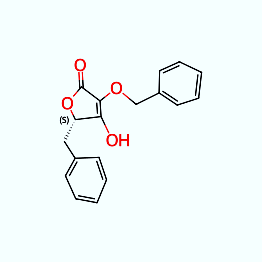 O=C1O[C@@H](Cc2ccccc2)C(O)=C1OCc1ccccc1